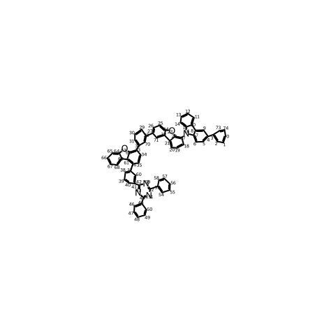 c1ccc(-c2ccc3c(c2)c2ccccc2n3-c2cccc3c2oc2ccc(-c4cccc(-c5ccc(-c6cccc(-c7nc(-c8ccccc8)nc(-c8ccccc8)n7)c6)c6c5oc5ccccc56)c4)cc23)cc1